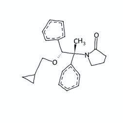 C[C@@](c1ccccc1)([C@H](OCC1CC1)c1ccccc1)N1CCCC1=O